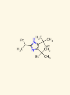 CCCC(C)(C)c1[nH]c(C(C)C(C)C)nc1C(C)(C)CC